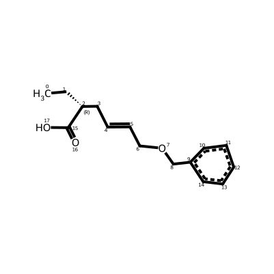 CC[C@H](CC=CCOCc1ccccc1)C(=O)O